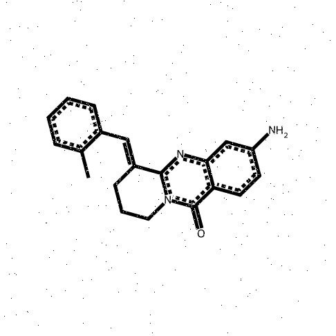 Cc1ccccc1/C=C1\CCCn2c1nc1cc(N)ccc1c2=O